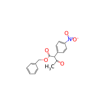 CC(=O)C(C(=O)OCc1ccccc1)c1ccc([N+](=O)[O-])cc1